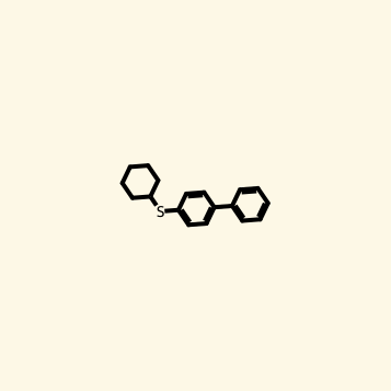 c1ccc(-c2ccc(SC3CCCCC3)cc2)cc1